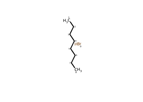 Br.CCC[CH]CCCC